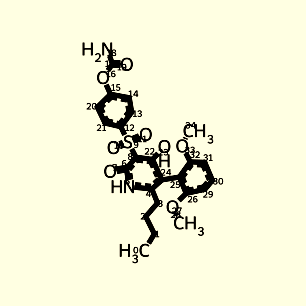 CCCCc1[nH]c(=O)c(S(=O)(=O)c2ccc(OC(N)=O)cc2)c(O)c1-c1c(OC)cccc1OC